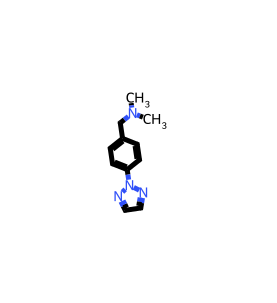 CN(C)Cc1ccc(-n2nccn2)cc1